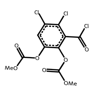 COC(=O)Oc1cc(Cl)c(Cl)c(C(=O)Cl)c1OC(=O)OC